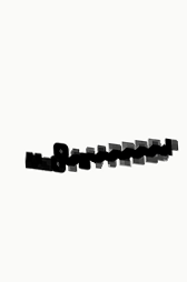 COC(=O)CCSCCCCCCCCCCCCI